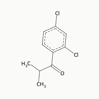 CC(C)C(=O)c1ccc(Cl)cc1Cl